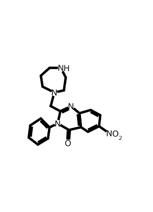 O=c1c2cc([N+](=O)[O-])ccc2nc(CN2CCCNCC2)n1-c1ccccc1